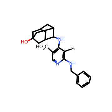 CCc1c(NCc2ccccc2)ncc(C(=O)O)c1NC1C2CC3CC1CC(O)(C3)C2